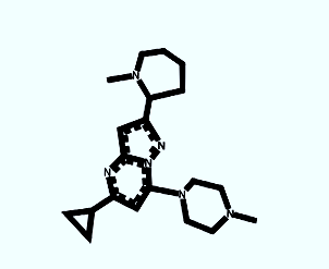 CN1CCN(c2cc(C3CC3)nc3cc(C4CCCCN4C)nn23)CC1